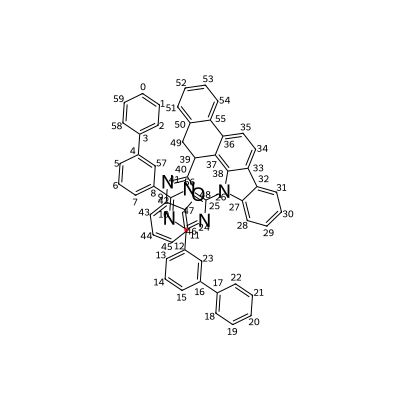 c1ccc(-c2cccc(-c3nc(-c4cccc(-c5ccccc5)c4)nc(-n4c5ccccc5c5ccc6c(c54)C(c4nc5ccccc5o4)Cc4ccccc4-6)n3)c2)cc1